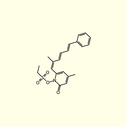 CCS(=O)(=O)On1c(C=C(C)C=CC=Cc2ccccc2)cc(C)cc1=O